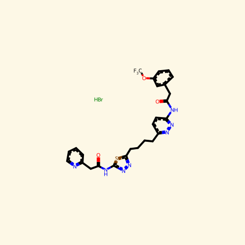 Br.O=C(Cc1cccc(OC(F)(F)F)c1)Nc1ccc(CCCCc2nnc(NC(=O)Cc3ccccn3)s2)nn1